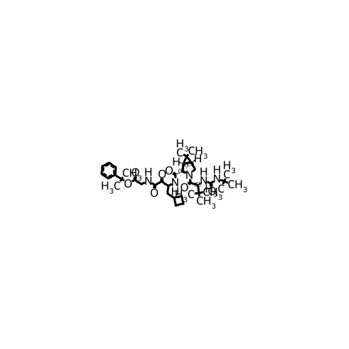 CC(C)(C)NC(=O)N[C@H](C(=O)N1C[C@H]2[C@@H]([C@H]1C(=O)NC(CC1CCC1)C(=O)C(=O)NCC(=O)OC(C)(C)c1ccccc1)C2(C)C)C(C)(C)C